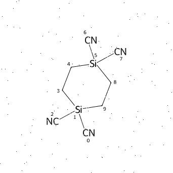 N#C[Si]1(C#N)CC[Si](C#N)(C#N)CC1